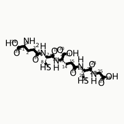 N[C@@H](CCC(=O)N[C@@H](CS)C(=O)N[C@@H](CCC(=O)N[C@@H](CS)C(=O)NCC(=O)O)C(=O)O)C(=O)O